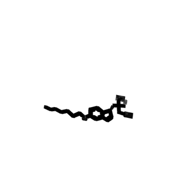 CCCCCCCOc1ccc2c(c1)C=C[C@H]2CC(C)(N)CO